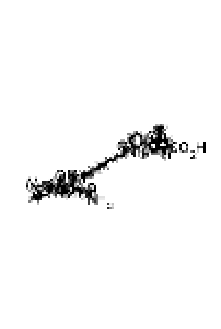 CO[C@@]1(NC(=O)Cc2cccs2)C(=O)N2C(C(=O)OCCCCCCCCCCC(=O)N[C@H]3CCCCN(c4c(F)cc5c(=O)c(C(=O)O)cn(C6CC6)c5c4Cl)C3)=C(COC(N)=O)CS[C@@H]21